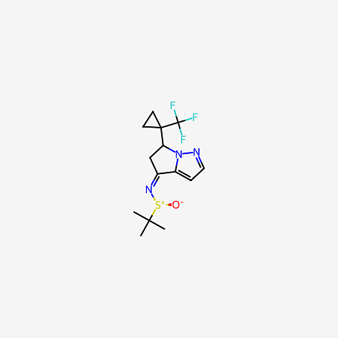 CC(C)(C)[S@+]([O-])/N=C1/CC(C2(C(F)(F)F)CC2)n2nccc21